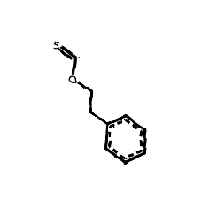 S=[C]OCCc1ccccc1